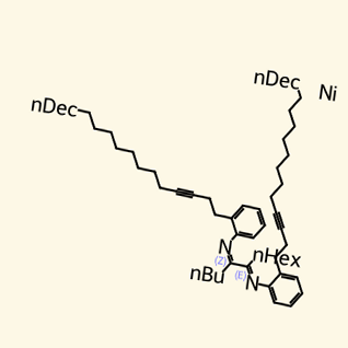 CCCCCCCCCCCCCCCCCCC#CCCc1ccccc1/N=C(CCCC)\C(CCCCCC)=N\c1ccccc1CCC#CCCCCCCCCCCCCCCCCCC.[Ni]